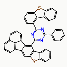 c1ccc(-c2nc(-c3cccc4sc5ccccc5c34)nc(-c3c4c(cc5sc6ccccc6c35)-c3cccc5cccc-4c35)n2)cc1